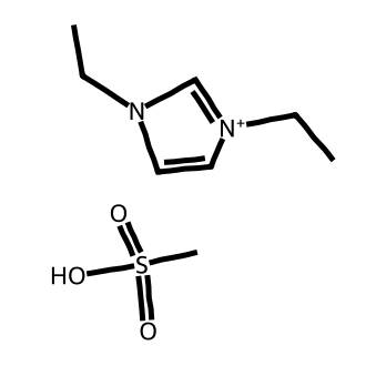 CCn1cc[n+](CC)c1.CS(=O)(=O)O